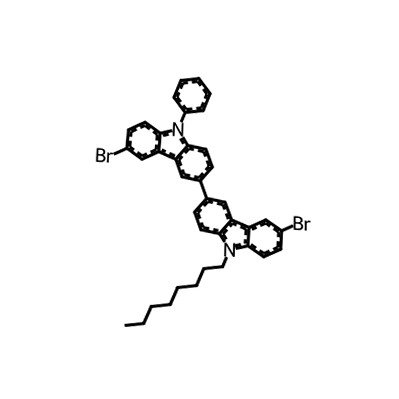 CCCCCCCCn1c2ccc(Br)cc2c2cc(-c3ccc4c(c3)c3cc(Br)ccc3n4-c3ccccc3)ccc21